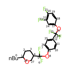 CCCCC1CCC(C(F)(F)Oc2ccc(C(F)(F)Oc3ccc(F)c(F)c3)cc2)CO1